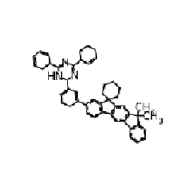 CC1(C)c2ccccc2-c2cc3c(cc21)C1(CCCCC1)c1cc(C2=CC(C4N=C(C5C=CCCC5)N=C(C5C=CC=CC5)N4)=CCC2)ccc1-3